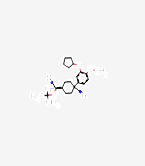 COc1ccc(C2(C#N)CCC(=C(C#N)OC(C)(C)C)CC2)cc1OC1CCCC1